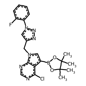 CC1(C)OB(c2cn(Cc3cn(-c4ccccc4F)nn3)c3ncnc(Cl)c23)OC1(C)C